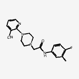 Cc1cc(NC(=O)CN2CCN(c3ncccc3C#N)CC2)ccc1F